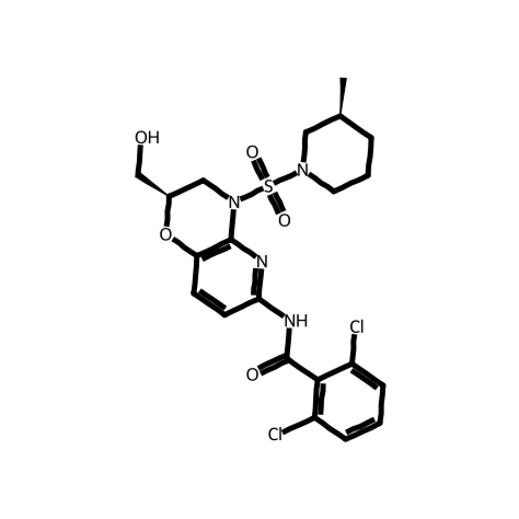 C[C@H]1CCCN(S(=O)(=O)N2C[C@H](CO)Oc3ccc(NC(=O)c4c(Cl)cccc4Cl)nc32)C1